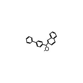 COC(c1ccc(-c2ccccc2)cc1)c1ccc2ccccc2c1